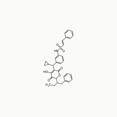 CCC(Cc1ccccc1)C1OC(=O)C(C(c2cccc(NS(=O)(=O)/C=C/c3ccccc3)c2)C2CC2)=C(O)C1=O